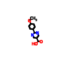 COc1ccc(-c2ncc(C(=O)O)cn2)cc1